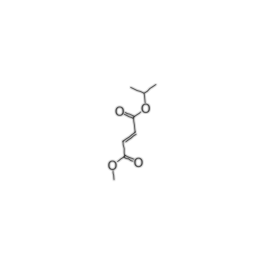 COC(=O)C=CC(=O)OC(C)C